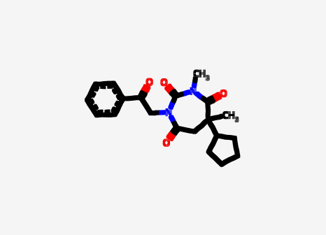 CN1C(=O)N(CC(=O)c2ccccc2)C(=O)CC(C)(C2CCCC2)C1=O